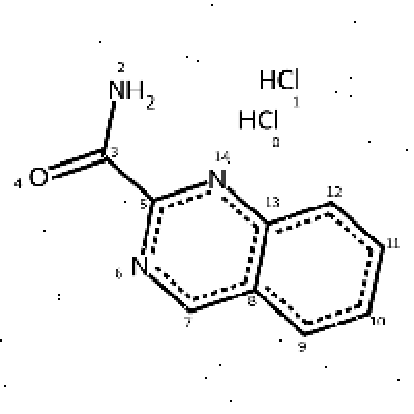 Cl.Cl.NC(=O)c1ncc2ccccc2n1